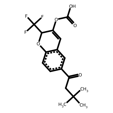 CC(C)(C)CC(=O)c1ccc2c(c1)C=C(OC(=O)O)C(C(F)(F)F)O2